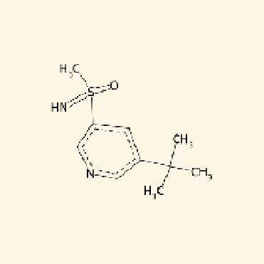 CC(C)(C)c1cncc(S(C)(=N)=O)c1